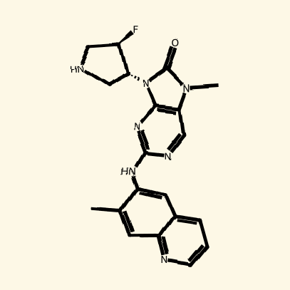 Cc1cc2ncccc2cc1Nc1ncc2c(n1)n([C@@H]1CNC[C@H]1F)c(=O)n2C